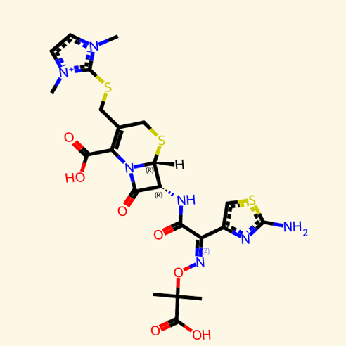 Cn1cc[n+](C)c1SCC1=C(C(=O)O)N2C(=O)[C@@H](NC(=O)/C(=N\OC(C)(C)C(=O)O)c3csc(N)n3)[C@H]2SC1